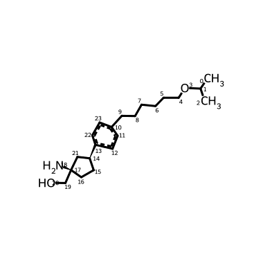 CC(C)OCCCCCCc1ccc([C@H]2CC[C@](N)(CO)C2)cc1